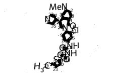 CNc1ccc2c(=O)n(-c3ccc(NC(=O)NS(=O)(=O)c4ccc(C)s4)cc3Cl)cc(-c3ccncc3)c2c1